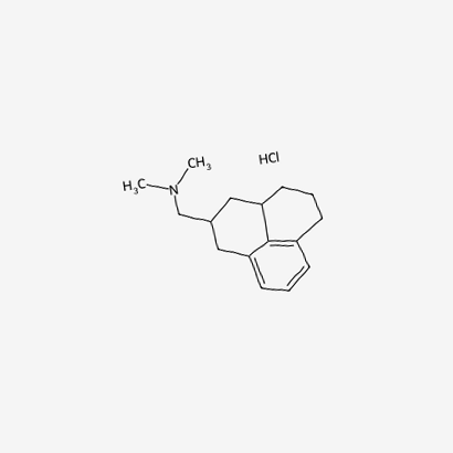 CN(C)CC1Cc2cccc3c2C(CCC3)C1.Cl